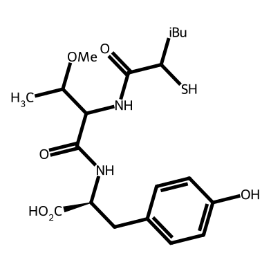 CCC(C)C(S)C(=O)NC(C(=O)N[C@@H](Cc1ccc(O)cc1)C(=O)O)C(C)OC